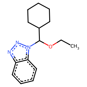 CCOC(C1CCCCC1)n1nnc2ccccc21